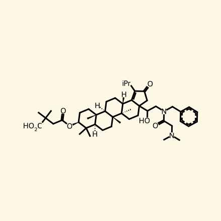 CC(C)C1=C2[C@H]3CC[C@@H]4[C@@]5(C)CC[C@H](OC(=O)CC(C)(C)C(=O)O)C(C)(C)[C@@H]5CC[C@@]4(C)[C@]3(C)CCC2(C(O)CN(Cc2ccccc2)C(=O)CN(C)C)CC1=O